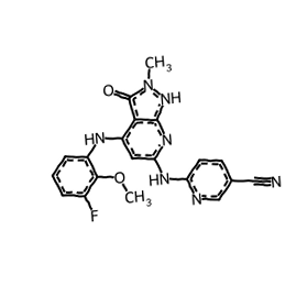 COc1c(F)cccc1Nc1cc(Nc2ccc(C#N)cn2)nc2[nH]n(C)c(=O)c12